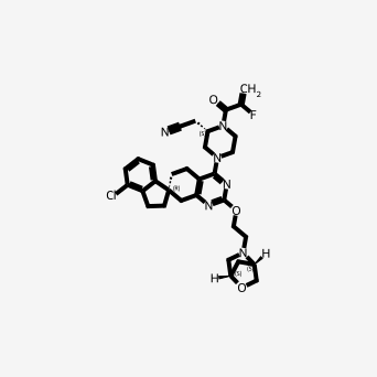 C=C(F)C(=O)N1CCN(c2nc(OCCN3C[C@@H]4C[C@H]3CO4)nc3c2CC[C@@]2(CCc4c(Cl)cccc42)C3)C[C@@H]1CC#N